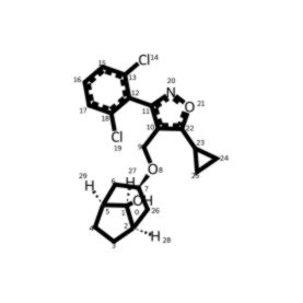 O[C@H]1[C@@H]2CC[C@H]1C[C@@H](OCc1c(-c3c(Cl)cccc3Cl)noc1C1CC1)C2